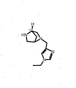 CCn1cnc(CN2C[C@@H]3CC2CN3)c1